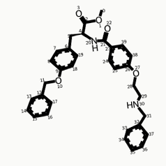 COC(=O)[C@H](Cc1ccc(OCc2ccccc2)cc1)NC(=O)c1ccc(OCCNCc2ccccc2)cc1